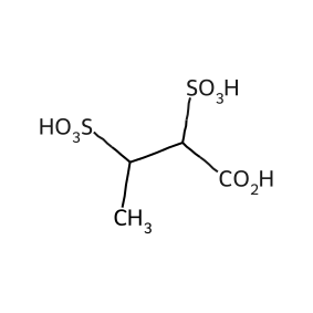 CC(C(C(=O)O)S(=O)(=O)O)S(=O)(=O)O